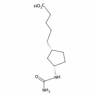 NC(=O)N[C@H]1CC[C@@H](CCCCC(=O)O)C1